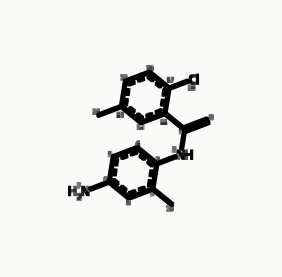 C=C(Nc1ccc(N)cc1C)c1cc(C)ccc1Cl